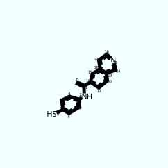 C=C(Nc1ccc(S)cc1)c1ccc2cnccc2c1